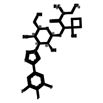 CN(CC(F)(F)F)C(=O)C(S[C@@H]1O[C@H](CO)[C@H](O)[C@H](n2cc(-c3cc(F)c(F)c(F)c3)nn2)[C@H]1O)C1(O)CCC1